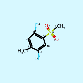 Cc1cc(F)c(S(C)(=O)=O)cc1F